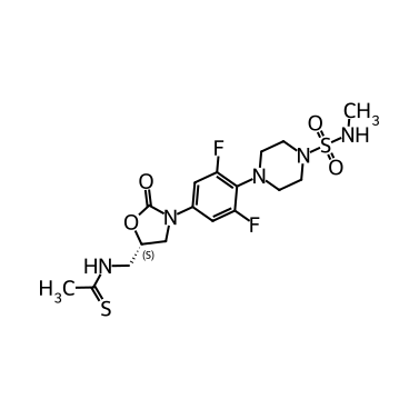 CNS(=O)(=O)N1CCN(c2c(F)cc(N3C[C@H](CNC(C)=S)OC3=O)cc2F)CC1